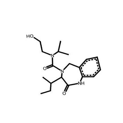 CCC(C)C1C(=O)Nc2ccccc2CN1C(=O)N(CCO)C(C)C